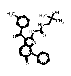 Cc1cccc(C(=O)c2c(NC(=O)NCC(C)(C)O)sc3c2ccc(=O)n3-c2ccccc2)c1